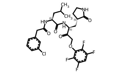 CC(C)C[C@H](NC(=O)Cc1cccc(Cl)c1)C(=O)N[C@@H](C[C@@H]1CCNC1=O)C(=O)COc1c(F)c(F)cc(F)c1F